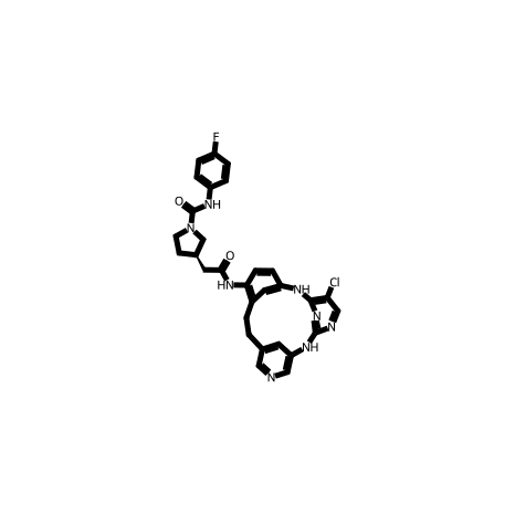 O=C(C[C@H]1CCN(C(=O)Nc2ccc(F)cc2)C1)Nc1ccc2cc1CCc1cncc(c1)Nc1ncc(Cl)c(n1)N2